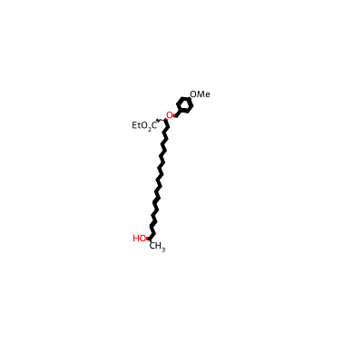 CCOC(=O)C[C@@H](CCCCCCCCCCCC/C=C/CC/C=C/C[C@@H](C)O)OCc1ccc(OC)cc1